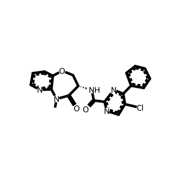 CN1C(=O)[C@@H](NC(=O)c2ncc(Cl)c(-c3ccccc3)n2)COc2cccnc21